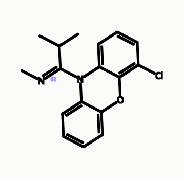 C/N=C(\C(C)C)N1c2ccccc2Oc2c(Cl)cccc21